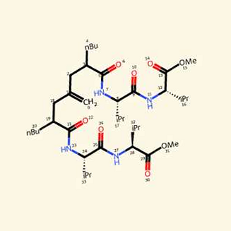 C=C(CC(CCCC)C(=O)N[C@H](C(=O)N[C@H](C(=O)OC)C(C)C)C(C)C)CC(CCCC)C(=O)N[C@H](C(=O)N[C@H](C(=O)OC)C(C)C)C(C)C